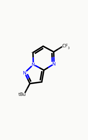 CC(C)(C)c1cc2nc(C(F)(F)F)c[c]n2n1